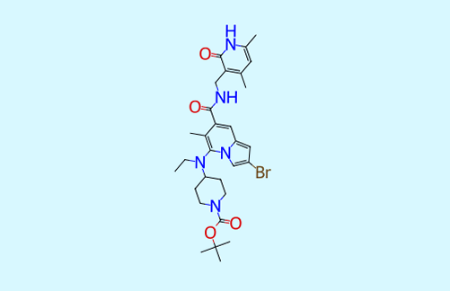 CCN(c1c(C)c(C(=O)NCc2c(C)cc(C)[nH]c2=O)cc2cc(Br)cn12)C1CCN(C(=O)OC(C)(C)C)CC1